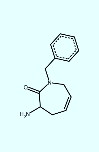 NC1CC=CCN(Cc2ccccc2)C1=O